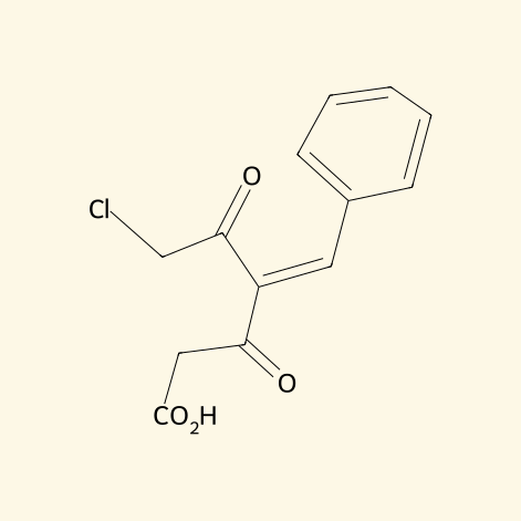 O=C(O)CC(=O)C(=Cc1ccccc1)C(=O)CCl